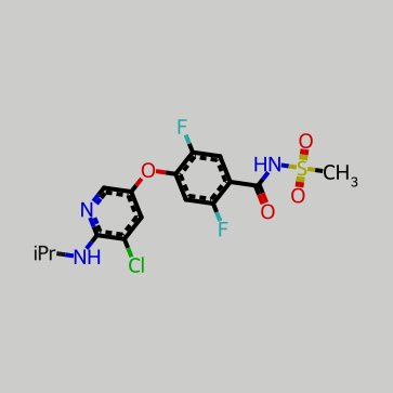 CC(C)Nc1ncc(Oc2cc(F)c(C(=O)NS(C)(=O)=O)cc2F)cc1Cl